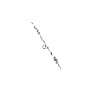 CCCCCSCSCCCCCCCCC(=O)CCCCCCCCSCSCCCCC